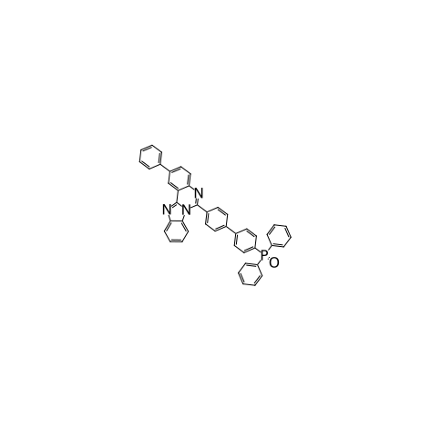 O=P(c1ccccc1)(c1ccccc1)c1ccc(-c2ccc(-c3nc4ccc(-c5ccccc5)cc4c4nc5ccccc5n34)cc2)cc1